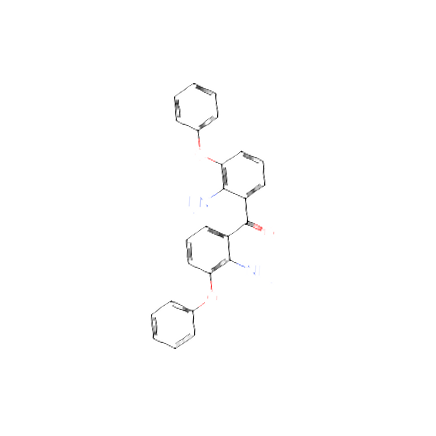 Nc1c(Oc2ccccc2)cccc1C(=O)c1cccc(Oc2ccccc2)c1N